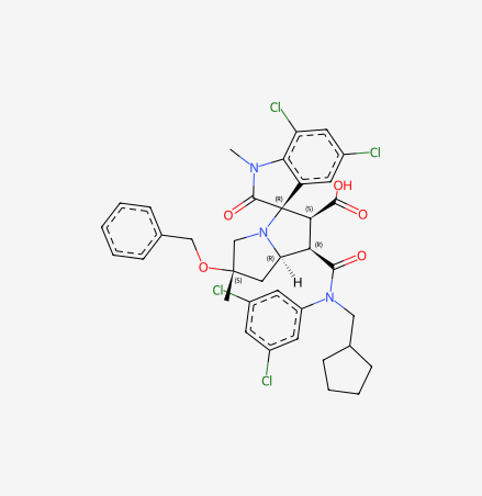 CN1C(=O)[C@]2(c3cc(Cl)cc(Cl)c31)[C@@H](C(=O)O)[C@@H](C(=O)N(CC1CCCC1)c1cc(Cl)cc(Cl)c1)[C@H]1C[C@](C)(OCc3ccccc3)CN12